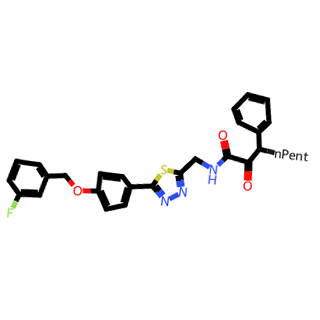 CCCCCC(C(=O)C(=O)NCc1nnc(-c2ccc(OCc3cccc(F)c3)cc2)s1)c1ccccc1